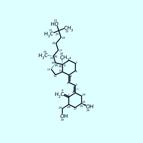 C=C1/C(=C\C=C2CCC[C@@]3(C)C2CC[C@@H]3[C@H](C)CCCC(C)(C)O)C[C@@H](O)CC1CO